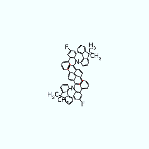 CC1(C)c2ccccc2-c2c(N(c3ccc(F)cc3-c3ccccc3)c3ccc4ccc5c(N(c6ccc(F)cc6-c6ccccc6)c6cccc7c6-c6ccccc6C7(C)C)ccc6ccc3c4c65)cccc21